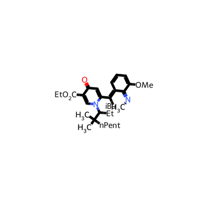 CCCCCC(C)(C)C(CC)n1cc(C(=O)OCC)c(=O)cc1/C(=C1\C=CC=C(OC)\C1=N\C)C(C)CC